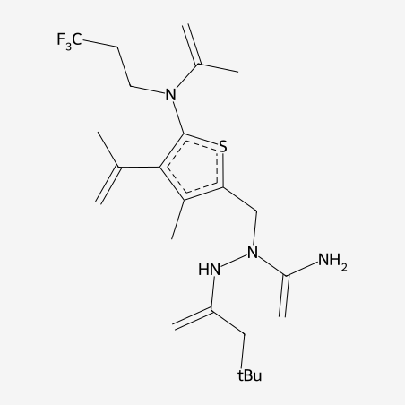 C=C(CC(C)(C)C)NN(Cc1sc(N(CCC(F)(F)F)C(=C)C)c(C(=C)C)c1C)C(=C)N